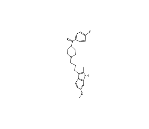 COc1ccc2c(CCCN3CCC(C(=O)c4ccc(F)cc4)CC3)c(C)[nH]c2c1